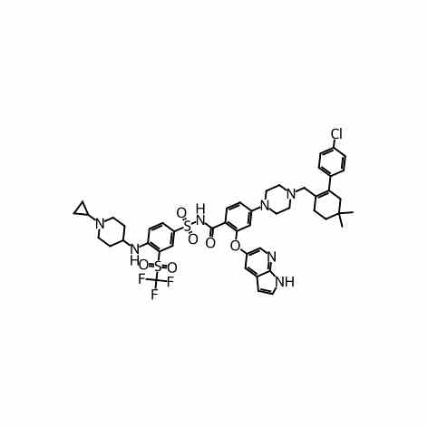 CC1(C)CCC(CN2CCN(c3ccc(C(=O)NS(=O)(=O)c4ccc(NC5CCN(C6CC6)CC5)c(S(=O)(=O)C(F)(F)F)c4)c(Oc4cnc5[nH]ccc5c4)c3)CC2)=C(c2ccc(Cl)cc2)C1